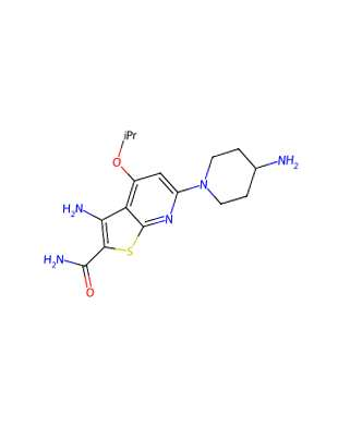 CC(C)Oc1cc(N2CCC(N)CC2)nc2sc(C(N)=O)c(N)c12